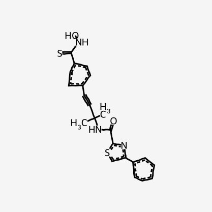 CC(C)(C#Cc1ccc(C(=S)NO)cc1)NC(=O)c1nc(-c2ccccc2)cs1